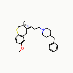 COc1ccc2c(c1)C/C(=C\CCN1CCC(Cc3ccccc3)CC1)[C@H](C)CS2